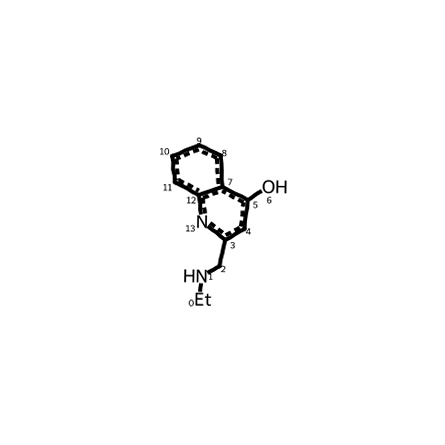 CCNCc1cc(O)c2ccccc2n1